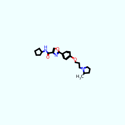 CC1CCCN1CCCOc1ccc(-c2nc(C(=O)NC3CCCC3)co2)cc1